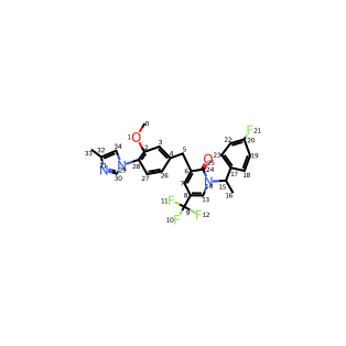 COc1cc(Cc2cc(C(F)(F)F)cn(C(C)c3ccc(F)cc3)c2=O)ccc1-n1cnc(C)c1